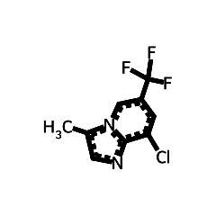 Cc1cnc2c(Cl)cc(C(F)(F)F)cn12